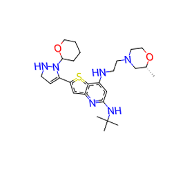 C[C@@H]1CN(CCNc2cc(NC(C)(C)C)nc3cc(C4=CCNN4C4CCCCO4)sc23)CCO1